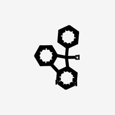 ClC1(c2ccccc2)c2ccccc2-c2ncncc21